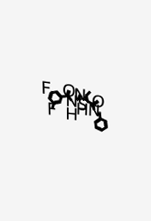 Cc1nc(NC(=O)c2cc(F)cc(F)c2)sc1C(=O)NCc1ccccc1